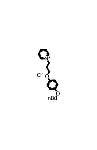 CCCCOc1ccc(OCCC[n+]2ccccc2)cc1.[Cl-]